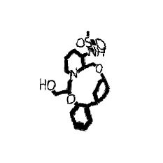 CS(=O)(=O)NC1CCCN2CC(CO)Oc3ccccc3C3CCC(CC3)OCC12